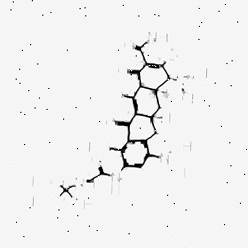 CN(C)c1cc(NC(=O)CNC(C)(C)C)c(O)c2c1C[C@H]1C[C@@H]3C(C(=O)C(C(N)=O)=C(O)[C@H]3N(C)C)C(O)=C1C2=O